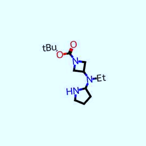 CCN(C1CN(C(=O)OC(C)(C)C)C1)C1CCCN1